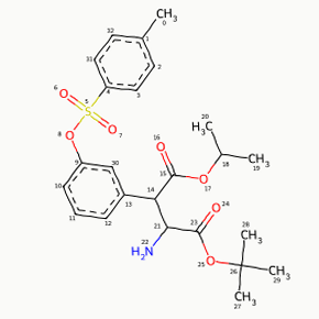 Cc1ccc(S(=O)(=O)Oc2cccc(C(C(=O)OC(C)C)C(N)C(=O)OC(C)(C)C)c2)cc1